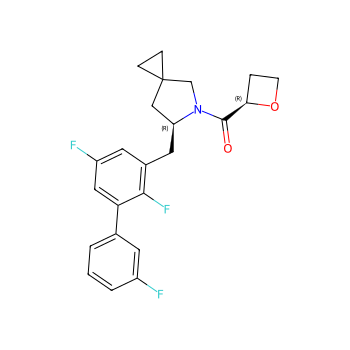 O=C([C@H]1CCO1)N1CC2(CC2)C[C@@H]1Cc1cc(F)cc(-c2cccc(F)c2)c1F